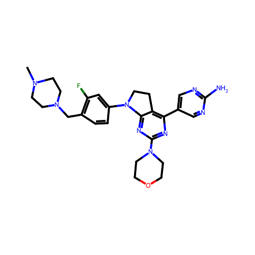 CN1CCN(Cc2ccc(N3CCc4c(-c5cnc(N)nc5)nc(N5CCOCC5)nc43)cc2F)CC1